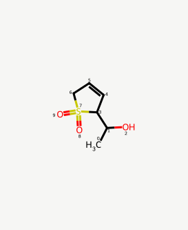 CC(O)C1C=CCS1(=O)=O